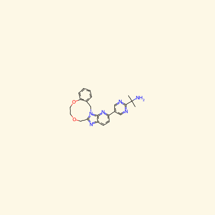 CC(C)(N)c1ncc(-c2ccc3nc4n(c3n2)Cc2ccccc2OCCOC4)cn1